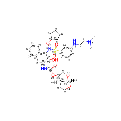 CN(C)CCNc1cccc(S(=O)(=O)N(C[C@@H](O)[C@@H](Cc2ccccc2)NC(=O)O[C@H]2CO[C@H]3OCC[C@H]32)OC2CCCC2)c1